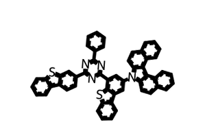 c1ccc(-c2nc(-c3ccc4c(c3)sc3ccccc34)nc(-c3cc(-n4c5ccc6ccccc6c5c5c6ccccc6ccc54)cc4c3sc3ccccc34)n2)cc1